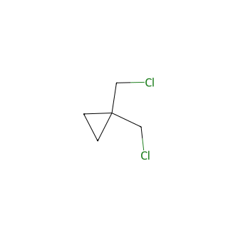 ClCC1(CCl)CC1